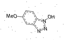 COc1ccc2c(c1)nnn2O